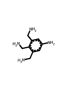 NCc1cc(N)cc(CN)c1CN